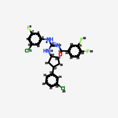 O=C(/N=C(/Nc1cc(F)cc(Cl)c1)NC1CCC(c2cccc(Cl)c2)C1)c1ccc(F)c(F)c1